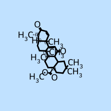 COC(=O)[C@]12CCC(C)(C)CC1C1C(=O)C=C3[C@@]4(C)C=CC(=O)[C@@H](C)[C@@H]4CC[C@@]3(C)[C@]1(C)CC2